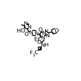 CCc1c(N2CCN(C(=O)c3ncnc(C)c3O)CC2)c(=O)n2nc(C3=CCOCC3)nc2n1CC(=O)NC12CC(C(F)(F)F)(C1)C2